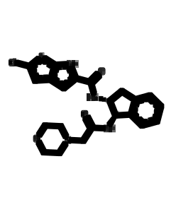 O=C(CN1CCOCC1)N[C@@H]1c2ccccc2C[C@H]1NC(=O)c1cc2cc(Cl)sc2[nH]1